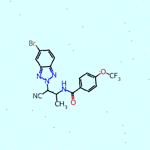 CC(NC(=O)c1ccc(OC(F)(F)F)cc1)C(C#N)n1nc2ccc(Br)cc2n1